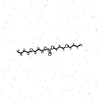 CCCCOCCCO[N+](=O)OCCCOCCCC